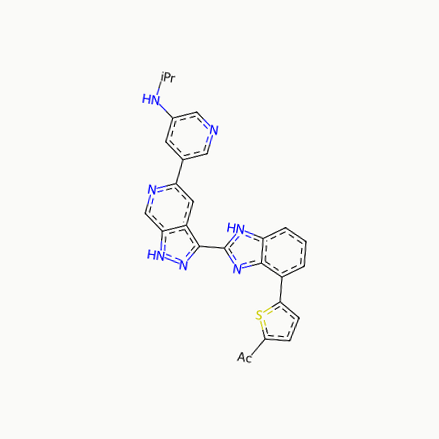 CC(=O)c1ccc(-c2cccc3[nH]c(-c4n[nH]c5cnc(-c6cncc(NC(C)C)c6)cc45)nc23)s1